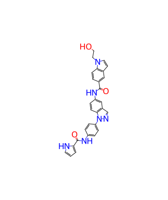 O=C(Nc1ccc2c(cnn2-c2ccc(NC(=O)c3ccc[nH]3)cc2)c1)c1ccc2c(ccn2CCO)c1